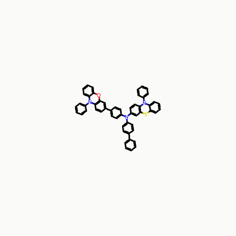 c1ccc(-c2ccc(N(c3ccc(-c4ccc5c(c4)Oc4ccccc4N5c4ccccc4)cc3)c3ccc4c(c3)Sc3ccccc3N4c3ccccc3)cc2)cc1